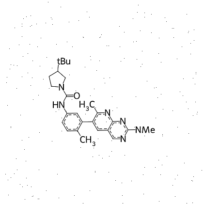 CNc1ncc2cc(-c3cc(NC(=O)N4CCC(C(C)(C)C)C4)ccc3C)c(C)nc2n1